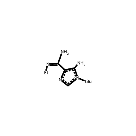 CC/N=C(/N)c1ncn(C(C)(C)C)c1N